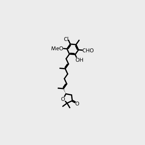 COc1c(Cl)c(C)c(C=O)c(O)c1C/C=C(\C)CC/C=C(\C)[C@@H]1CC(=O)C(C)(C)O1